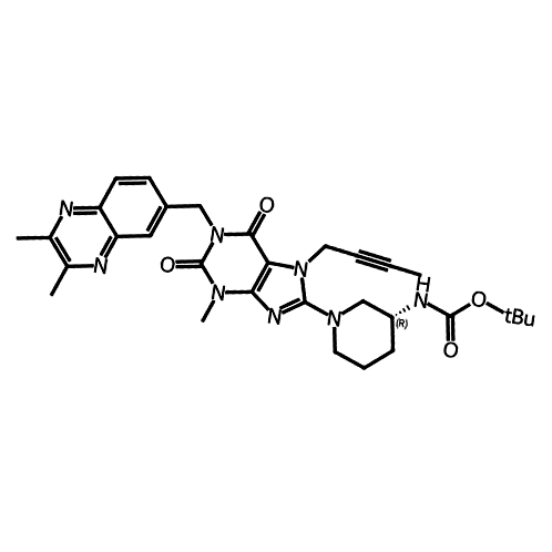 CC#CCn1c(N2CCC[C@@H](NC(=O)OC(C)(C)C)C2)nc2c1c(=O)n(Cc1ccc3nc(C)c(C)nc3c1)c(=O)n2C